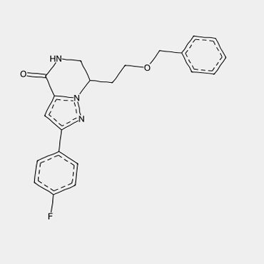 O=C1NCC(CCOCc2ccccc2)n2nc(-c3ccc(F)cc3)cc21